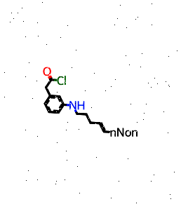 CCCCCCCCCC=CCCCNc1cccc(CC(=O)Cl)c1